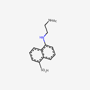 CC(=O)NCCNc1cccc2c(S(=O)(=O)O)cccc12